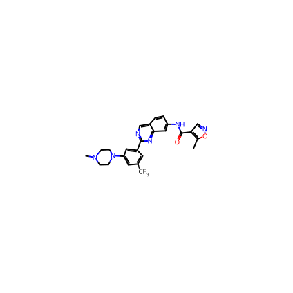 Cc1oncc1C(=O)Nc1ccc2cnc(-c3cc(N4CCN(C)CC4)cc(C(F)(F)F)c3)nc2c1